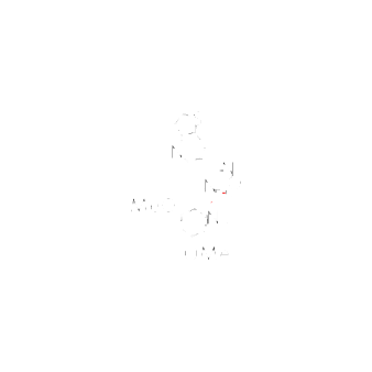 COc1ccc(CN2C(c3cnc4ccsc4c3)=NO[C@@]23CN2CCC3CC2)c(OC)c1